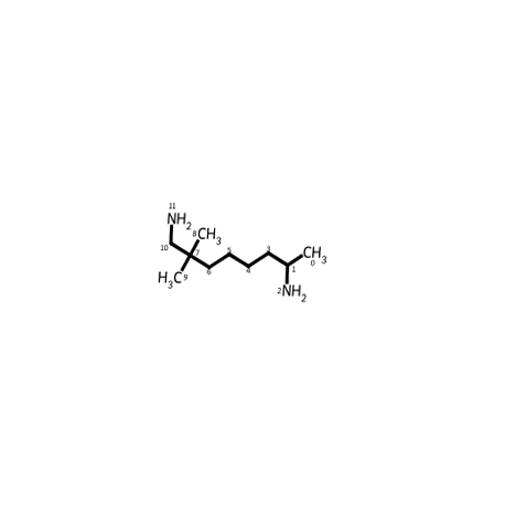 CC(N)CCCCC(C)(C)CN